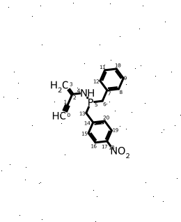 C#CC(=C)NP(Cc1ccccc1)Cc1ccc([N+](=O)[O-])cc1